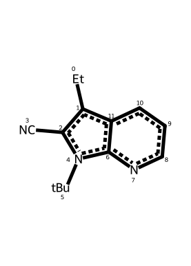 CCc1c(C#N)n(C(C)(C)C)c2ncccc12